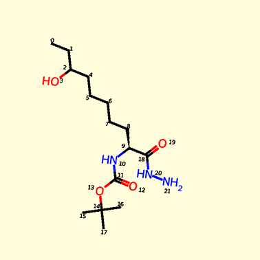 CCC(O)CCCCC[C@H](NC(=O)OC(C)(C)C)C(=O)NN